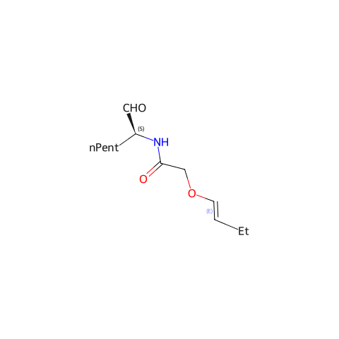 CC/C=C/OCC(=O)N[C@H](C=O)CCCCC